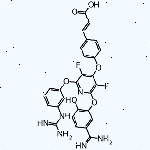 N=C(N)Nc1cccc(Oc2nc(Oc3cc(C(=N)N)ccc3O)c(F)c(Oc3ccc(C=CC(=O)O)cc3)c2F)c1